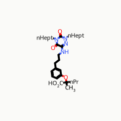 CCCCCCCn1nc(NCCCc2cccc(OC(C)(CCC)C(=O)O)c2)c(=O)n(CCCCCCC)c1=O